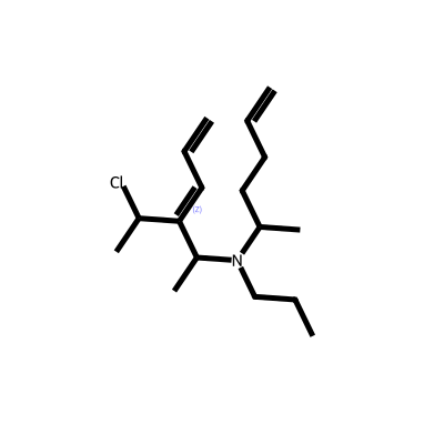 C=C/C=C(\C(C)Cl)C(C)N(CCC)C(C)CCC=C